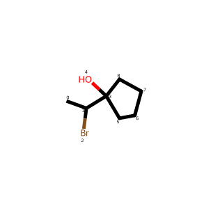 CC(Br)C1(O)CCCC1